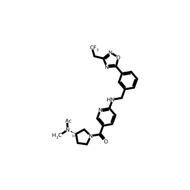 CC(=O)N(C)[C@H]1CCN(C(=O)c2ccc(NCc3cccc(-c4nc(CC(F)(F)F)no4)c3)nc2)C1